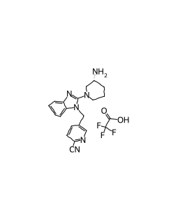 N#Cc1ccc(Cn2c(N3CCC[C@@H](N)C3)nc3ccccc32)cn1.O=C(O)C(F)(F)F